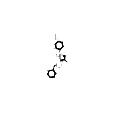 [CH2]c1cn(-c2ccc(F)cc2)nc1OCc1ccccc1